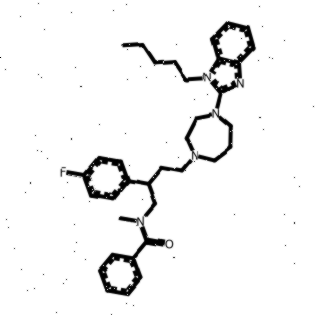 CCCCCn1c(N2CCCN(CCC(CN(C)C(=O)c3ccccc3)c3ccc(F)cc3)CC2)nc2ccccc21